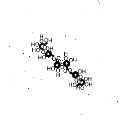 O=C(OCc1cc(O)c(OC2OC(CO)C(O)C(O)C2O)c(O)c1)c1cc(O)c(O)c(Oc2c(C(=O)OCc3cc(O)c(OC4OC(CO)C(O)C(O)C4O)c(O)c3)cc(O)c(O)c2O)c1